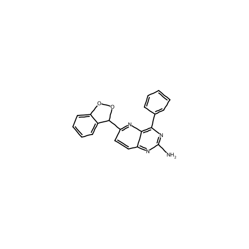 Nc1nc(-c2ccccc2)c2nc(C3OOc4ccccc43)ccc2n1